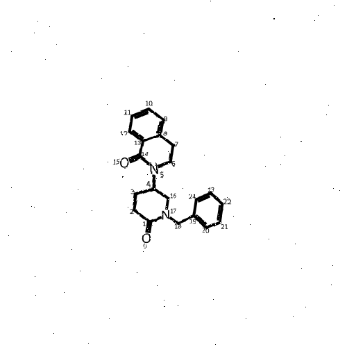 O=C1CCC(N2CCc3ccccc3C2=O)CN1Cc1ccccc1